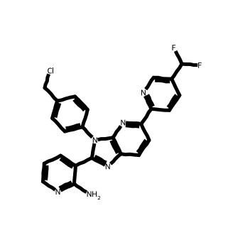 Nc1ncccc1-c1nc2ccc(-c3ccc(C(F)F)cn3)nc2n1-c1ccc(CCl)cc1